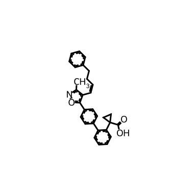 Cc1noc(-c2ccc(-c3ccccc3C3(C(=O)O)CC3)cc2)c1/C=C\CCc1ccccc1